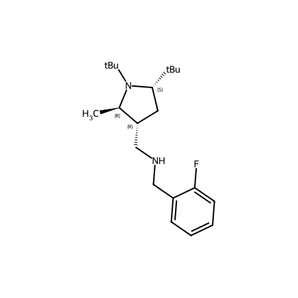 C[C@@H]1[C@@H](CNCc2ccccc2F)C[C@@H](C(C)(C)C)N1C(C)(C)C